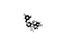 CC1CCN(Cc2cc(F)cc(F)c2)CC1N(C)c1ncnc2[nH]ccc12